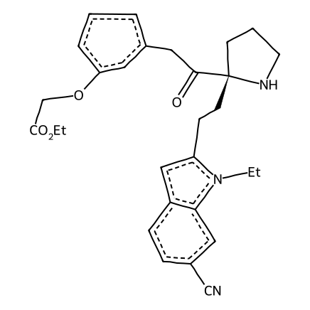 CCOC(=O)COc1cccc(CC(=O)[C@]2(CCc3cc4ccc(C#N)cc4n3CC)CCCN2)c1